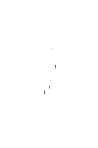 OC[C@H]1OC(c2ccccc2)O[C@@H]2[C@@H]1OC(c1ccccc1)O[C@@H]2Cc1ncccc1Cl